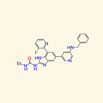 CCNC(=O)Nc1nc2cc(-c3cncc(NCc4ccccc4)c3)cc(-c3ncccc3F)c2[nH]1